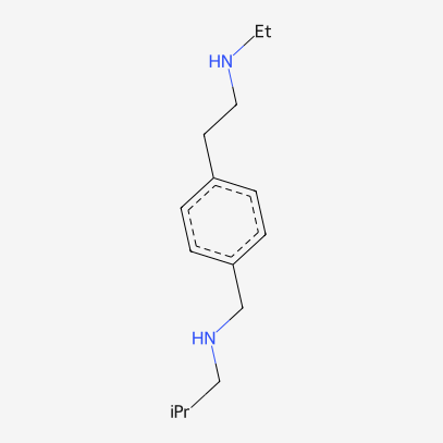 CCNCCc1ccc(CNCC(C)C)cc1